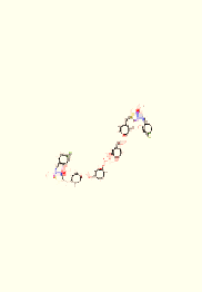 O=C1SC(=Cc2ccc(OCc3cccc(OBOc4cccc(COc5ccc(C=C6SC(=O)N(Cc7ccc(F)cc7)C6=O)cc5)c4)c3)cc2)C(=O)N1Cc1ccc(F)cc1